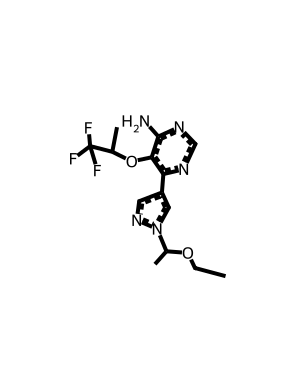 CCOC(C)n1cc(-c2ncnc(N)c2OC(C)C(F)(F)F)cn1